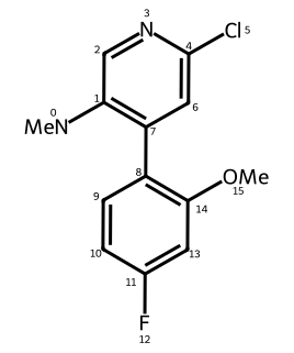 CNc1cnc(Cl)cc1-c1ccc(F)cc1OC